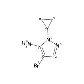 Nc1c(Br)cnn1C1CC1